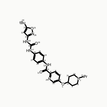 CC(C)N1CCC(Oc2ccc(C(=O)Nc3ccc(NC(=O)Nc4cc(C(C)(C)C)on4)cc3)nc2)CC1